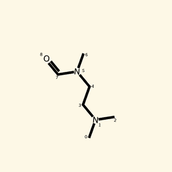 CN(C)CCN(C)C=O